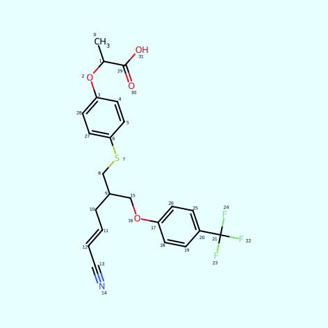 CC(Oc1ccc(SCC(CC=CC#N)COc2ccc(C(F)(F)F)cc2)cc1)C(=O)O